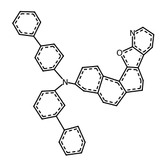 c1ccc(-c2ccc(N(c3cccc(-c4ccccc4)c3)c3ccc4c(ccc5ccc6c7cccnc7oc6c54)c3)cc2)cc1